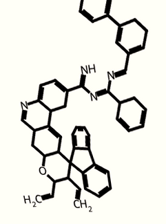 C=CC1OC2CC3C=NC4=CC=C(C(=N)/N=C(\N=C\C5=CCCC(c6ccccc6)=C5)C5C=CC=CC5)CC4C3=CC2C2(c3ccccc3-c3ccccc32)C1C=C